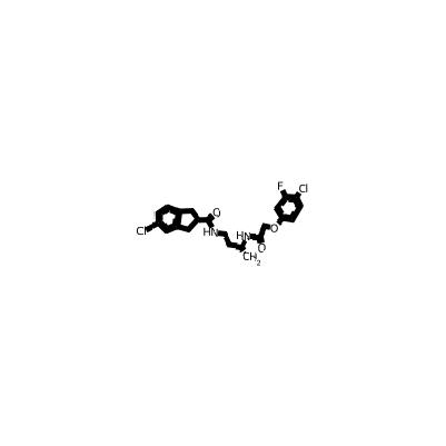 C=C(CCNC(=O)C1Cc2ccc(Cl)cc2C1)NC(=O)COc1ccc(Cl)c(F)c1